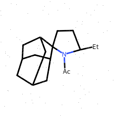 CCC1CCC2(C3CC4CC(C3)CC2C4)N1C(C)=O